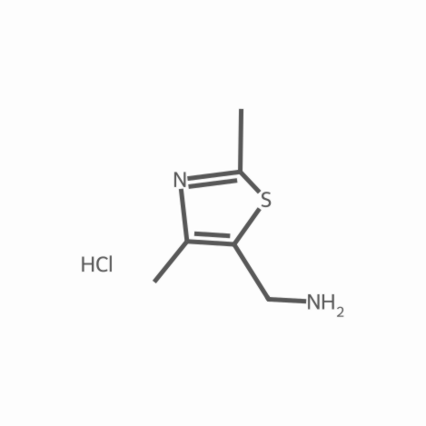 Cc1nc(C)c(CN)s1.Cl